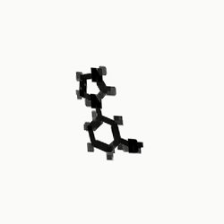 Brc1[c]ccc(-n2ccnc2)c1